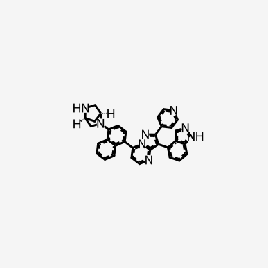 c1cc(-c2c(-c3ccncc3)nn3c(-c4ccc(N5C[C@@H]6C[C@H]5CN6)c5ccccc45)ccnc23)c2cn[nH]c2c1